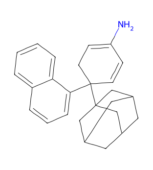 NC1=CCC(c2cccc3ccccc23)(C23CC4CC(CC(C4)C2)C3)C=C1